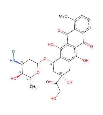 COc1cccc2c1C(=O)c1c(O)c3c(c(O)c1C2=O)C[C@@](O)(C(=O)CO)C[C@@H]3OC1C[C@H](NCl)[C@H](O)[C@@H](C)O1